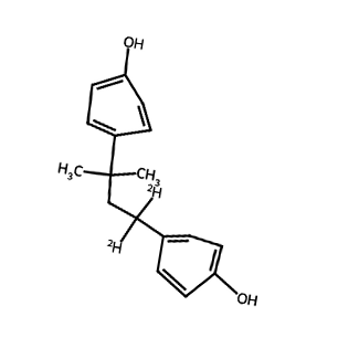 [2H]C([2H])(CC(C)(C)c1ccc(O)cc1)c1ccc(O)cc1